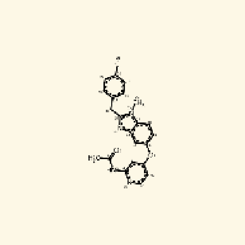 CC(=O)Nc1cc(Oc2ccc3c(c2)nc(Cc2ccc(Cl)cc2)n3C)ccn1